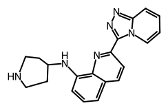 c1cc(NC2CCNCC2)c2nc(-c3nnc4ccccn34)ccc2c1